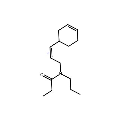 CCCN(C/C=C\C1CC=CCC1)C(=O)CC